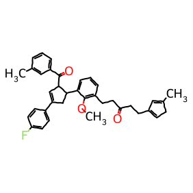 COc1c(CCC(=O)CCC2=CCC(C)=C2)cccc1C1CC(c2ccc(F)cc2)=CC1C(=O)c1cccc(C)c1